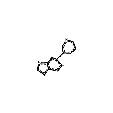 [c]1cc2ccsc2cc1-c1cccnc1